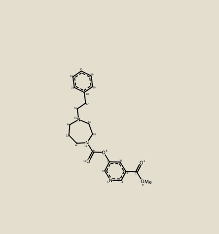 COC(=O)c1cncc(OC(=O)N2CCCN(CCc3ccccc3)CC2)c1